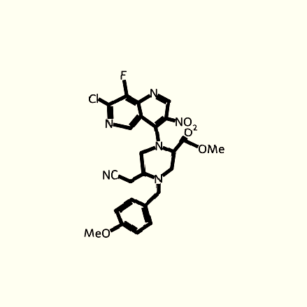 COC(=O)C1CN(Cc2ccc(OC)cc2)C(CC#N)CN1c1c([N+](=O)[O-])cnc2c(F)c(Cl)ncc12